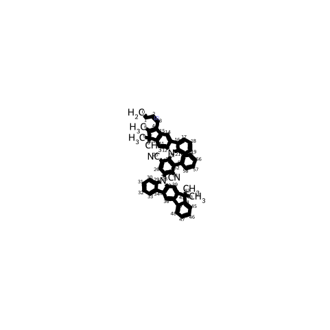 C=C/C=C\C1=C(C)C(C)(C)c2cc3c(cc21)c1ccccc1n3-c1c(C#N)cc(-n2c3ccccc3c3cc4c(cc32)C(C)(C)c2ccccc2-4)c(C#N)c1-c1ccccc1